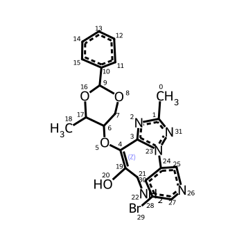 Cc1nc(/C(OC2COC(c3ccccc3)OC2C)=C(/O)CN)n(-c2cncc(Br)c2)n1